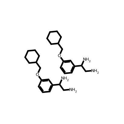 NCC(N)c1cccc(OCC2CCCCC2)c1.NCC(N)c1cccc(OCC2CCCCC2)c1